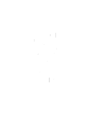 CCC(O)(CC)CCCC(C)C